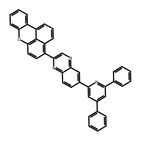 c1ccc(-c2cc(-c3ccccc3)nc(-c3ccc4nc(-c5ccc6c7c(cccc57)-c5ccccc5O6)cnc4c3)c2)cc1